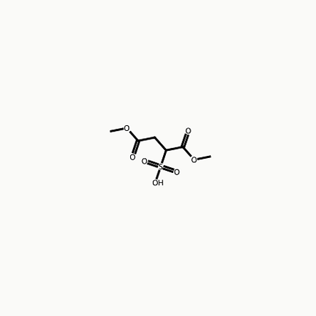 COC(=O)CC(C(=O)OC)S(=O)(=O)O